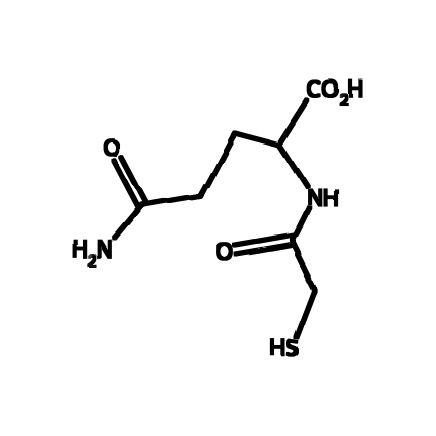 NC(=O)CCC(NC(=O)CS)C(=O)O